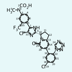 CN(C(=O)O)c1ccc(-c2[nH]c([C@@H]3CCc4cc(-c5cc(Cl)ccc5-n5cnnn5)cc(=O)n43)nc2Cl)c(C(F)(F)F)c1